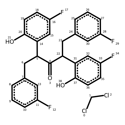 ClCCl.O=C(C(Cc1cccc(F)c1)c1cc(F)ccc1O)C(Cc1cccc(F)c1)c1cc(F)ccc1O